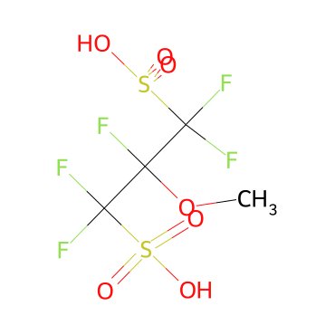 COC(F)(C(F)(F)S(=O)(=O)O)C(F)(F)S(=O)(=O)O